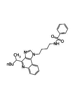 CCCCC(C)c1nc2ccccc2c2c1ncn2CCCCNS(=O)(=O)c1ccccc1